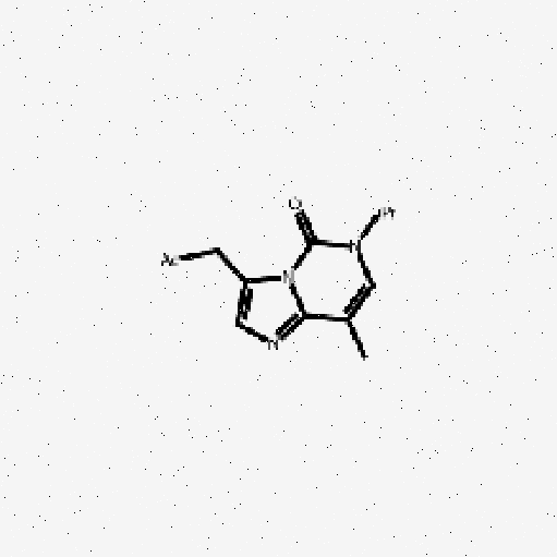 CC(=O)Cc1cnc2c(C)cn(C(C)C)c(=O)n12